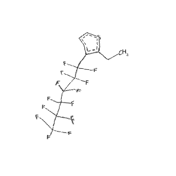 CCc1sccc1C(F)(F)C(F)(F)C(F)(F)C(F)(F)C(F)(F)C(F)(F)F